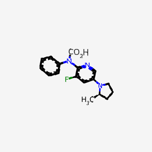 C[C@@H]1CCCN1c1cnc(N(C(=O)O)c2ccccc2)c(F)c1